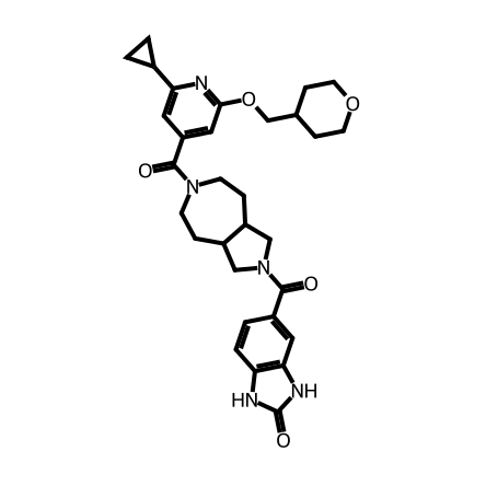 O=C(c1cc(OCC2CCOCC2)nc(C2CC2)c1)N1CCC2CN(C(=O)c3ccc4[nH]c(=O)[nH]c4c3)CC2CC1